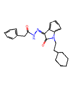 O=C(Cc1ccccc1)NN=C1C(=O)N(CCC2CCCCC2)c2ccccc21